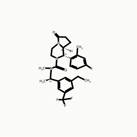 CCc1cc([C@@H](C)N(C)C(=O)N2CCN3C(=O)CC[C@H]3[C@@H]2c2ccc(F)cc2C)cc(C(F)(F)F)c1